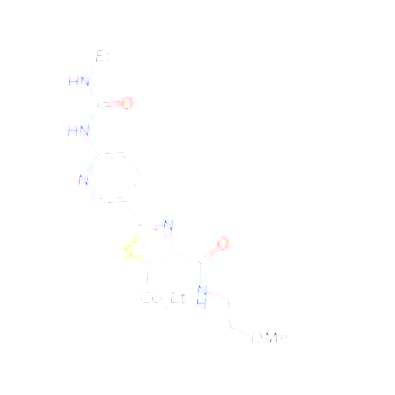 CCNC(=O)Nc1ccc(-c2nc(C(=O)NCCOC)c(C(=O)OCC)s2)cn1